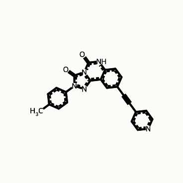 Cc1ccc(-n2nc3c4cc(C#Cc5ccncc5)ccc4[nH]c(=O)n3c2=O)cc1